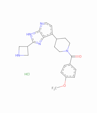 Cl.O=C(c1ccc(OC(F)(F)F)cc1)N1CCC(c2ccnc3[nH]c(C4CNC4)nc23)CC1